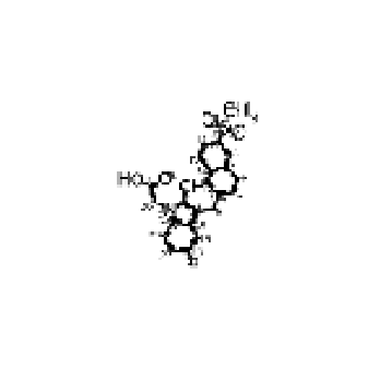 Cc1c(Cc2ccc3cc(S(C)(=O)=O)ccc3c2)c2cc(F)ccc2n1CC(=O)O